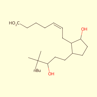 CCCCC(C)(C)C(O)CCC1CCC(O)C1C/C=C\CCCC(=O)O